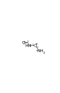 NC1CC1NC=O